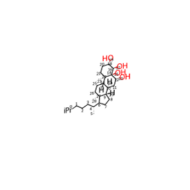 CC(C)CCC[C@@H](C)C1CC[C@H]2[C@@H]3C[C@@H](O)[C@@]4(O)[C@H](O)[C@@H](O)CC[C@]4(C)[C@H]3CC[C@]12C